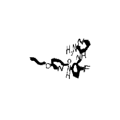 C/C=C/COc1ccc(C(=O)Nc2ccc(F)c(CNc3cccnc3N)c2)nc1